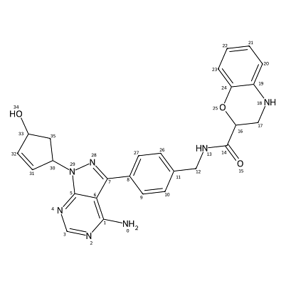 Nc1ncnc2c1c(-c1ccc(CNC(=O)C3CNc4ccccc4O3)cc1)nn2C1C=CC(O)C1